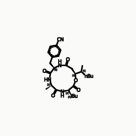 CCCC[C@H](C)[C@@H]1CC(=O)N[C@H](Cc2ccc(C#N)cc2)C(=O)N[C@@H](C)C(=O)N[C@H]([C@H](C)CC)C(=O)O1